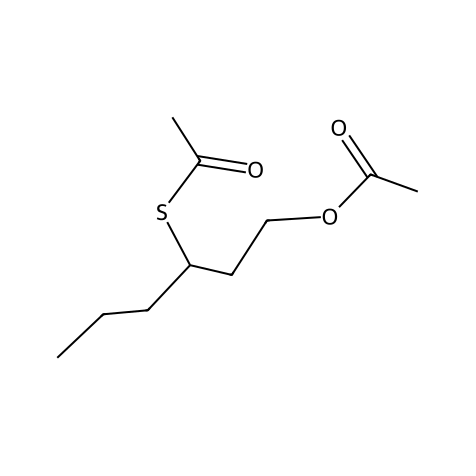 CCCC(CCOC(C)=O)SC(C)=O